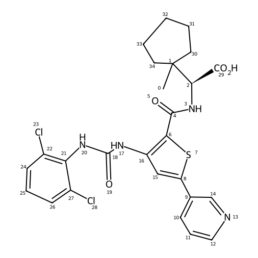 CC1([C@H](NC(=O)c2sc(-c3cccnc3)cc2NC(=O)Nc2c(Cl)cccc2Cl)C(=O)O)CCCCC1